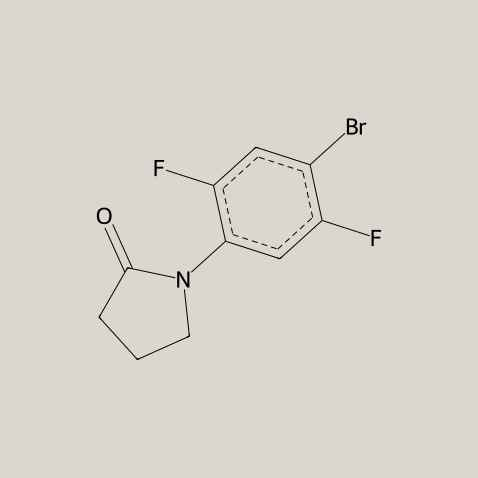 O=C1CCCN1c1cc(F)c(Br)cc1F